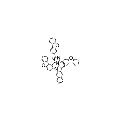 c1ccc2cc3c(cc2c1)c1ccccc1n3-c1ccc2oc3ccccc3c2c1-c1nc(-c2ccc3c(c2)oc2ccccc23)nc(-c2ccc3c(c2)oc2ccccc23)n1